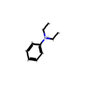 [CH2]CN(CC)c1ccccc1